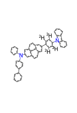 [2H]c1c([2H])c(-n2c3ccccc3c3ccccc32)c([2H])c([2H])c1-c1cc2ccc3cc(N(c4ccccc4)c4ccc(-c5ccccc5)cc4)cc4ccc(c1)c2c34